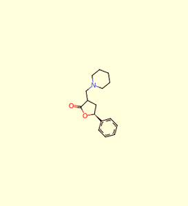 O=C1O[C@H](c2ccccc2)CC1CN1CCCCC1